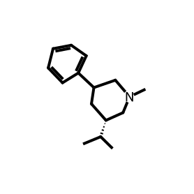 CC(C)[C@@H]1CC(c2ccccc2)CN(C)C1